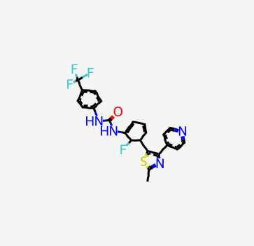 Cc1nc(-c2ccncc2)c(C2C=CC=C(NC(=O)Nc3ccc(C(F)(F)F)cc3)C2F)s1